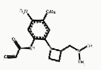 C=CC(=O)Nc1cc([N+](=O)[O-])c(OC)cc1N1CCC1CN(C)C